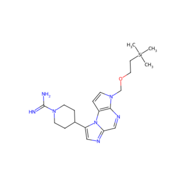 C[Si](C)(C)CCOCn1ccc2c1ncc1ncc(C3CCN(C(=N)N)CC3)n12